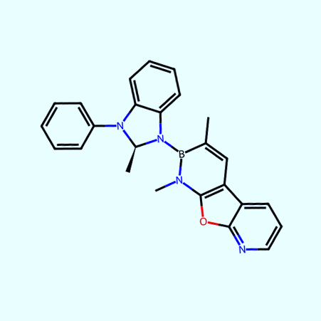 CC1=Cc2c(oc3ncccc23)N(C)B1N1c2ccccc2N(c2ccccc2)[C@@H]1C